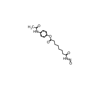 CC(=O)Nc1ccc(OC(=O)CCCCCCC(=O)NN=O)cc1